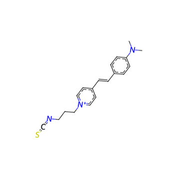 CN(C)c1ccc(C=Cc2cc[n+](CCCN=C=S)cc2)cc1